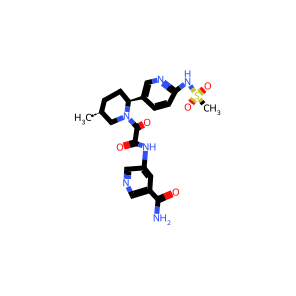 C[C@@H]1CC[C@@H](c2ccc(NS(C)(=O)=O)nc2)N(C(=O)C(=O)Nc2cncc(C(N)=O)c2)C1